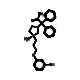 C[N@@+]1(CCCOc2cccc(O)c2)CCC(C(C(N)=O)(c2ccccc2)c2ccccc2)C1